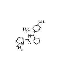 Cc1ccc(-c2nc(-c3cccc(C)n3)nc3c2CCC3)c(C)c1